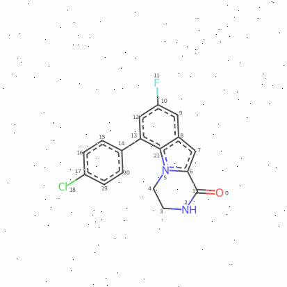 O=C1NCCn2c1cc1cc(F)cc(-c3ccc(Cl)cc3)c12